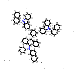 c1ccc(N(c2ccc3ccccc3c2)c2c3ccccc3c(-c3cc(-c4ccc5c(c4)c4ccccc4n5-c4cccc5ccccc45)cc(-c4ccc5c(c4)c4ccccc4n5-c4cccc5ccccc45)c3)c3ccccc23)cc1